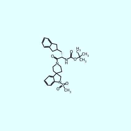 CC(C)(C)OC(=O)N[C@@H](CC1Cc2ccccc2C1)C(=O)N1CCC2(CC1)CN(S(C)(=O)=O)c1ccccc12